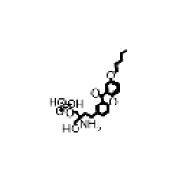 CCCCCOc1ccc2oc3ccc(CCC(N)(CO)COP(=O)(O)O)cc3c(=O)c2c1